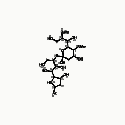 CNC1C(O)CC(O)(O[C@H](CO)[C@@H](O)C(O)C2NC(C(C)=O)CC2O)OC1[C@H](O)[C@@H](CO)OC